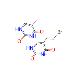 O=c1[nH]cc(C=CBr)c(=O)[nH]1.O=c1[nH]cc(I)c(=O)[nH]1